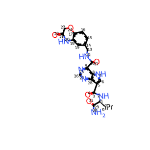 CC(C)[C@H](NC(=O)c1c[nH]c2c(C(=O)NCc3ccc4c(c3)NC(=O)CO4)ncnc12)C(N)=O